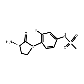 CS(=O)(=O)Nc1ccc(N2CC[C@H](N)C2=O)c(F)c1